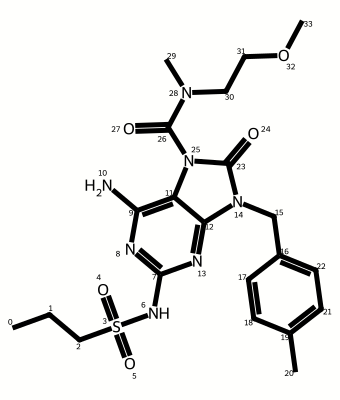 CCCS(=O)(=O)Nc1nc(N)c2c(n1)n(Cc1ccc(C)cc1)c(=O)n2C(=O)N(C)CCOC